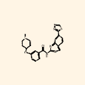 CN1CCC(Oc2cccc(C(=O)Nc3ncc4ccc(-c5nncs5)cc4n3)c2)CC1